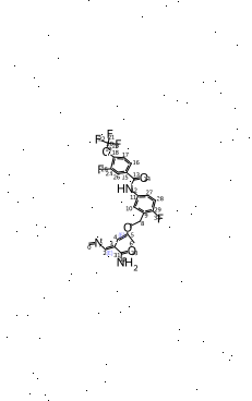 C=N/C=C(\C=C(/C)OCc1cc(NC(=O)c2ccc(OC(F)(F)F)c(F)c2)ccc1F)C(N)=O